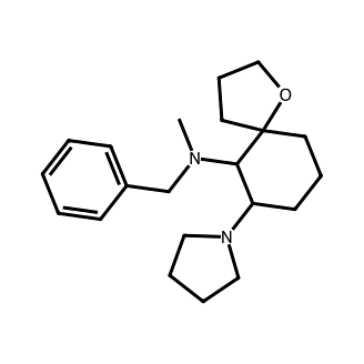 CN(Cc1ccccc1)C1C(N2CCCC2)CCCC12CCCO2